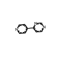 [c]1nccc(-c2ccncc2)n1